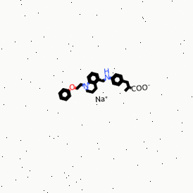 CC(Cc1ccc(NCc2cccc3c2CCCN3CCOc2ccccc2)cc1)C(=O)[O-].[Na+]